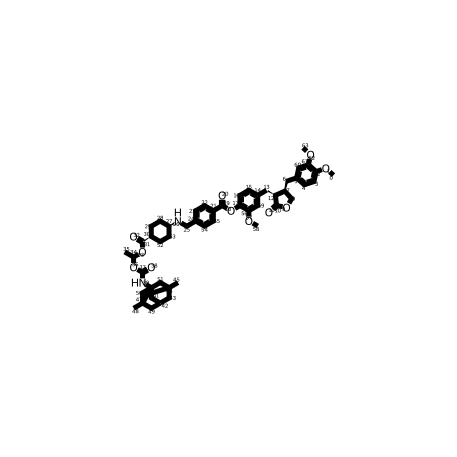 COc1ccc(C[C@H]2COC(=O)[C@@H]2Cc2ccc(OC(=O)c3ccc(CN[C@H]4CC[C@@H](C(=O)OC(C)OC(=O)NC56CC7CC(C)(CC(C)(C7)C5)C6)CC4)cc3)c(OC)c2)cc1OC